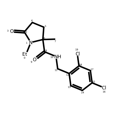 CCN1C(=O)CCC1(C)C(=O)NCc1ccc(Cl)cc1Cl